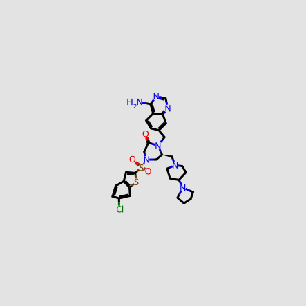 Nc1ncnc2cc(CN3C(=O)CN(S(=O)(=O)c4cc5ccc(Cl)cc5s4)C[C@@H]3CN3CCC(N4CCCC4)CC3)ccc12